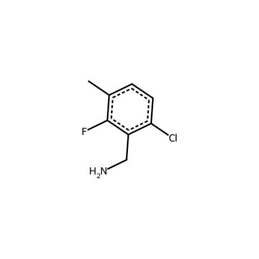 Cc1ccc(Cl)c(CN)c1F